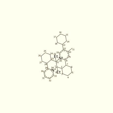 CCC12C3CCCCC3c3cc(C)c(C4CCCCC4)c[n+]3C1(CC)C1CCCCC1c1cccc[n+]12